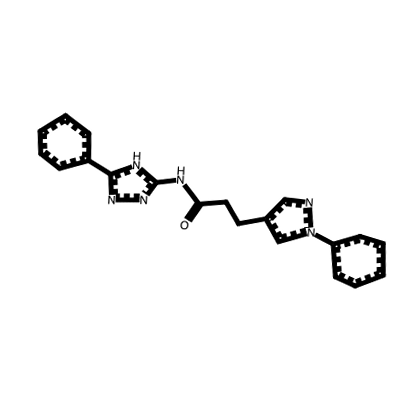 O=C(CCc1cnn(-c2ccccc2)c1)Nc1nnc(-c2ccccc2)[nH]1